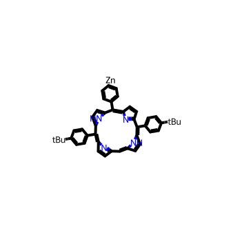 CC(C)(C)c1ccc(-c2c3nc(c(-c4ccccc4)c4ccc([nH]4)c(-c4ccc(C(C)(C)C)cc4)c4nc(cc5ccc2[nH]5)C=C4)C=C3)cc1.[Zn]